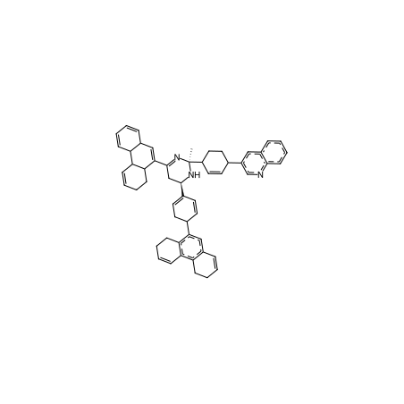 C[C@@]1(C2C=CC(c3cnc4ccccc4c3)CC2)N=C(C2=CC3C=CC=CC3C3C=CCCC23)C[C@H](C2=CCC(c3cc4c(c5c3CCC=C5)CCC=C4)C=C2)N1